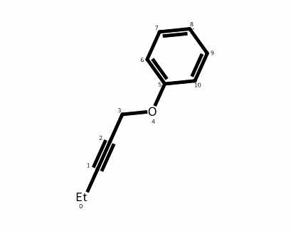 CCC#CCOc1cc[c]cc1